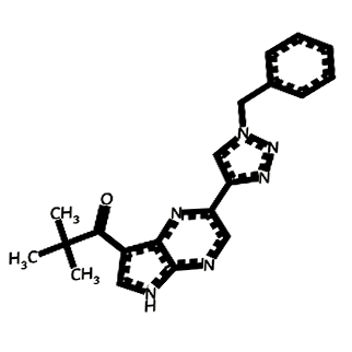 CC(C)(C)C(=O)c1c[nH]c2ncc(-c3cn(Cc4ccccc4)nn3)nc12